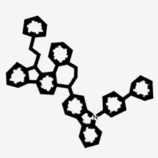 c1ccc(CCC2c3ccccc3-c3ccc4c(c32)-c2ccccc2CCC4c2ccc3c4ccccc4n(-c4ccc(-c5ccccc5)cc4)c3c2)cc1